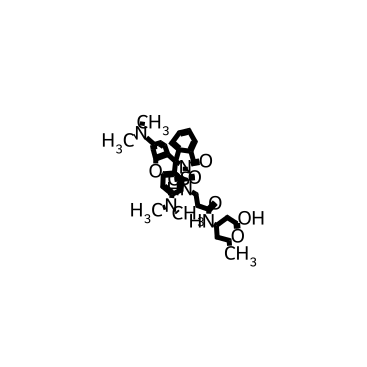 CCCC(CC(=O)O)NC(=O)CCNS(=O)(=O)N1C(=O)c2ccccc2C12c1ccc(N(C)C)cc1Oc1cc(N(C)C)ccc12